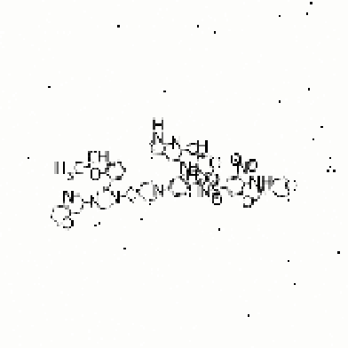 CC(C)Oc1ccccc1[C@@H]1CN(c2cnc3c(c2)OCCC3)CCN1C1CC2(CCN(c3ccc(C(=O)NS(=O)(=O)c4cc5c(c([N+](=O)[O-])c4)N[C@H](C4CCOCC4)CO5)c(N4c5cc6cc[nH]c6nc5O[C@H]5COCC[C@@H]54)c3)CC2)C1